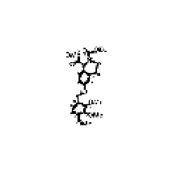 COC(=O)C1c2ccc(OCc3ccc(OC)c(OC)c3OC)cc2CCN1C(=O)OCC(C)C